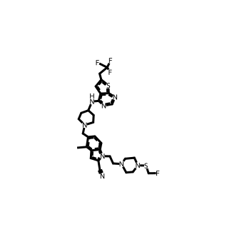 Cc1c(CN2CCC(Nc3ncnc4sc(CC(F)(F)F)cc34)CC2)ccc2c1cc(C#N)n2CCN1CCN(SCF)CC1